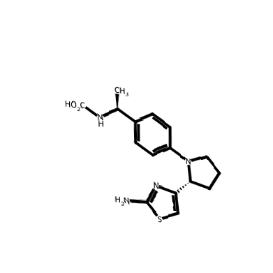 C[C@H](NC(=O)O)c1ccc(N2CCC[C@@H]2c2csc(N)n2)cc1